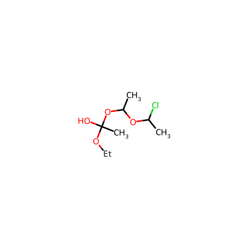 CCOC(C)(O)OC(C)OC(C)Cl